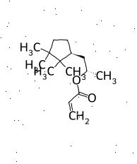 C=CC(=O)O[C@@H](C)C[C@@H]1CCC(C)(C)C1(C)C